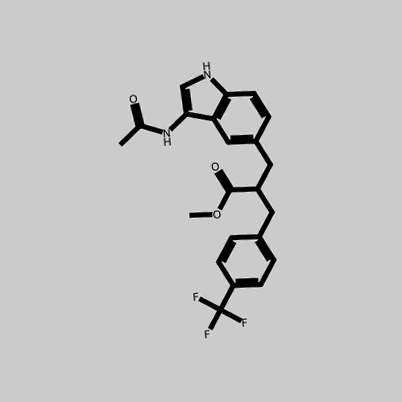 COC(=O)C(Cc1ccc(C(F)(F)F)cc1)Cc1ccc2[nH]cc(NC(C)=O)c2c1